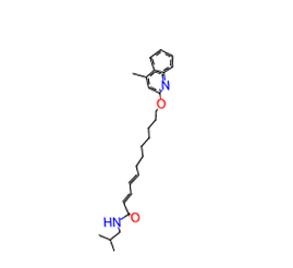 Cc1cc(OCCCCCCCC=CC=CC(=O)NCC(C)C)nc2ccccc12